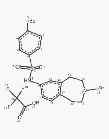 CCCCc1ccc(S(=O)(=O)Nc2ccc3c(c2)CCN(CCC)CC3)cc1.O=C(O)C(F)(F)F